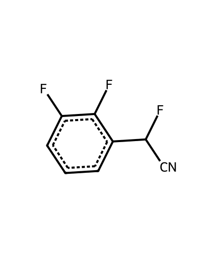 N#CC(F)c1cccc(F)c1F